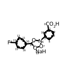 O=C(O)c1cccc(N2OOC(c3ccc(F)cc3)O2)c1.[NaH]